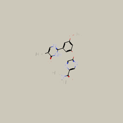 CC[C@H](C)Oc1cc(Oc2cnc(C(=O)N(C)C)cn2)cc(-c2ncc(C)c(=O)[nH]2)c1